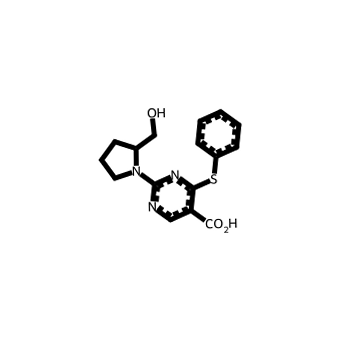 O=C(O)c1cnc(N2CCCC2CO)nc1Sc1ccccc1